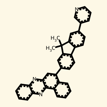 CC1(C)c2cc(-c3cccnc3)ccc2-c2ccc(-c3cc4nc5ccccc5nc4c4ccccc34)cc21